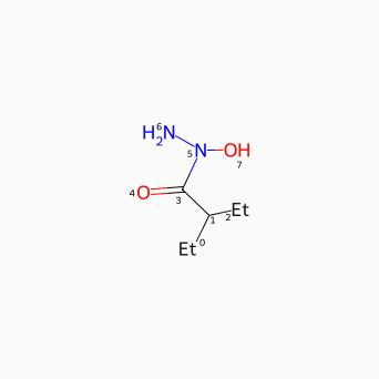 CCC(CC)C(=O)N(N)O